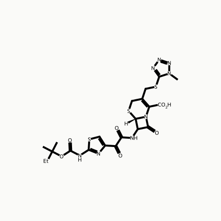 CCC(C)(C)OC(=O)Nc1nc(C(=O)C(=O)NC2C(=O)N3C(C(=O)O)=C(CSc4nnnn4C)CS[C@@H]23)cs1